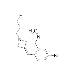 C=NCc1cc(Br)ccc1C=C1CN(CCCF)C1